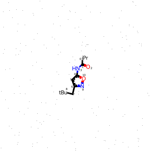 CC(C)C(=O)Nc1cc(CC(C)(C)C)no1